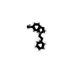 Brc1ccc2cnn(CCc3ccccc3)c2c1